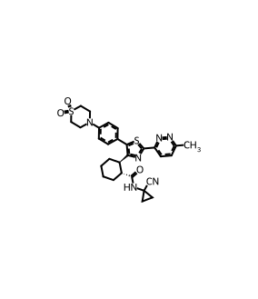 Cc1ccc(-c2nc([C@@H]3CCCC[C@H]3C(=O)NC3(C#N)CC3)c(-c3ccc(N4CCS(=O)(=O)CC4)cc3)s2)nn1